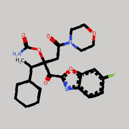 CC(C1CCCCC1)C(CC(=O)N1CCOCC1)(OC(N)=O)C(=O)c1nc2ccc(F)cc2o1